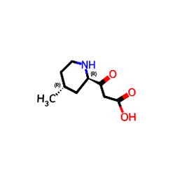 C[C@@H]1CCN[C@@H](C(=O)CC(=O)O)C1